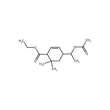 CCOC(=O)C1C=CC(C(C)OC(C)=O)CC1(C)C